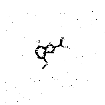 COc1cccc2sc(C(=N)N)cc12.Cl